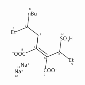 CCCCC(CC)C/C(C(=O)[O-])=C(/C(=O)[O-])C(CC)S(=O)(=O)O.[Na+].[Na+]